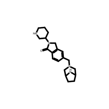 O=C1c2ccc(CN3CC4CCC(C3)N4)cc2CN1C1CCCNC1